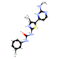 CNc1nccc(-c2sc(NC(=O)Nc3cccc(Cl)c3)nc2C)n1